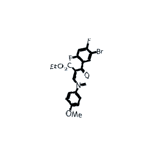 CCOC(=O)C(=CN(C)c1ccc(OC)cc1)C(=O)c1cc(Br)c(F)cc1F